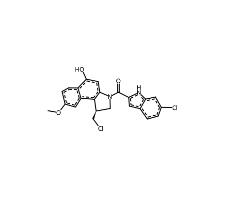 COc1ccc2c(O)cc3c(c2c1)[C@H](CCl)CN3C(=O)c1cc2ccc(Cl)cc2[nH]1